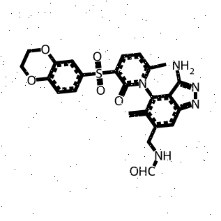 C=c1c(CNC=O)cc2c(c1-n1c(C)ccc(S(=O)(=O)c3ccc4c(c3)OCCO4)c1=O)C(N)=NN=2